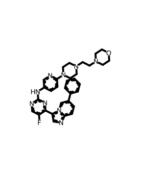 Fc1cnc(Nc2ccc(N3CCN(CCN4CCOCC4)CC3)nc2)nc1-c1cnc2ccc(-c3ccccc3)cn12